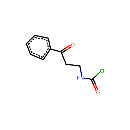 O=C(Cl)NCCC(=O)c1ccccc1